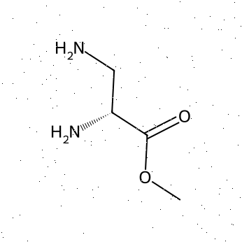 COC(=O)[C@H](N)CN